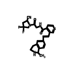 CC1NCCc2cc(C=Cc3cnccc3C(=O)NCC(=O)N3CC(F)(F)CC3C#N)ccc21